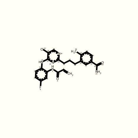 C=CC(=O)Nc1cc(F)ccc1Nc1nc(CCCc2cc(C(N)=O)ccc2C)ncc1Cl